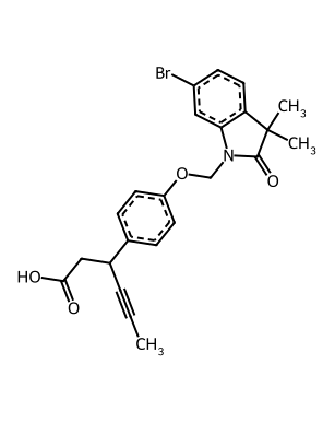 CC#CC(CC(=O)O)c1ccc(OCN2C(=O)C(C)(C)c3ccc(Br)cc32)cc1